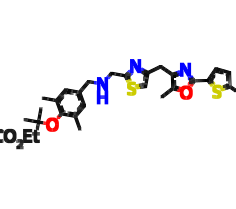 CCOC(=O)C(C)(C)Oc1c(C)cc(CNCc2nc(Cc3nc(-c4ccc(C)s4)oc3C)cs2)cc1C